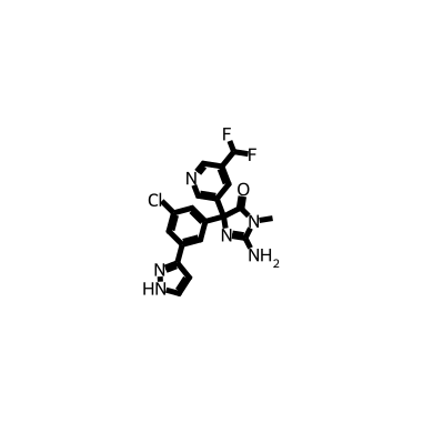 CN1C(=O)C(c2cc(Cl)cc(-c3cc[nH]n3)c2)(c2cncc(C(F)F)c2)N=C1N